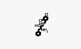 N[C@@H](Cc1ccccc1)[C@H](O)CNCc1ccc(Cl)cc1Cl